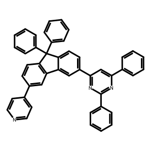 c1ccc(-c2cc(-c3ccc4c(c3)-c3cc(-c5ccncc5)ccc3C4(c3ccccc3)c3ccccc3)nc(-c3ccccc3)n2)cc1